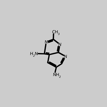 Cc1nc(N)c2cc(N)cnc2n1